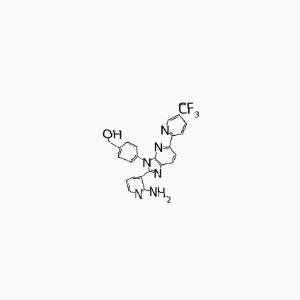 Nc1ncccc1-c1nc2ccc(-c3ccc(C(F)(F)F)cn3)nc2n1-c1ccc(CO)cc1